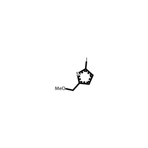 COCc1ccc(I)s1